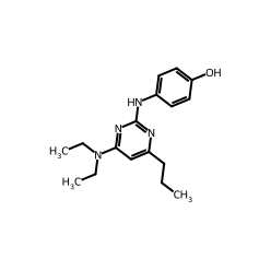 CCCc1cc(N(CC)CC)nc(Nc2ccc(O)cc2)n1